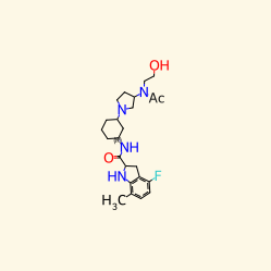 CC(=O)N(CCO)C1CCN(C2CCC[C@@H](NC(=O)C3Cc4c(F)ccc(C)c4N3)C2)C1